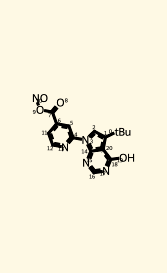 CC(C)(C)c1cn(-c2cc(C(=O)ON=O)ccn2)c2ncnc(O)c12